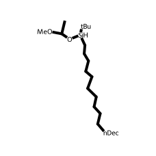 CCCCCCCCCCCCCCCCCCCC[SiH](OC(C)OC)C(C)(C)C